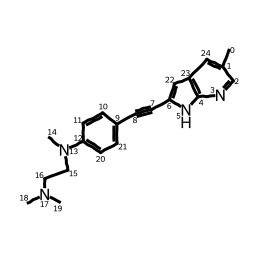 Cc1cnc2[nH]c(C#Cc3ccc(N(C)CCN(C)C)cc3)cc2c1